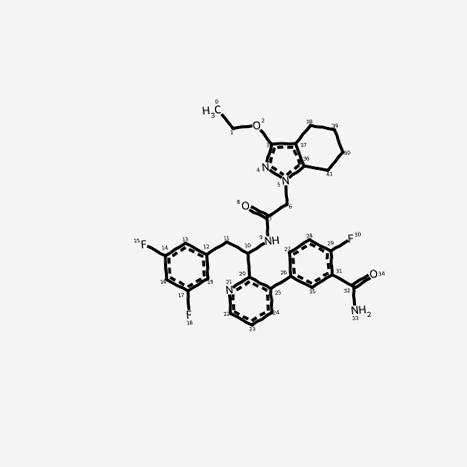 CCOc1nn(CC(=O)NC(Cc2cc(F)cc(F)c2)c2ncccc2-c2ccc(F)c(C(N)=O)c2)c2c1CCCC2